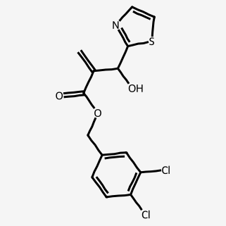 C=C(C(=O)OCc1ccc(Cl)c(Cl)c1)C(O)c1nccs1